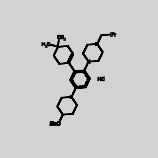 COC1CCN(c2ccc(N3CCN(CC(C)C)CC3)c(C3=CCC(C)(C)CC3)c2)CC1.Cl